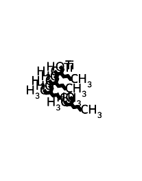 CCCCC(CC)CO.CCCCC(CC)CO.CCCCC(CC)CO.CCCCC(CC)CO.[Ti].[Ti]